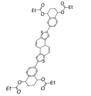 CCC(=O)OC1CCC(OC(=O)CC)c2cc(-c3cc4c(s3)C=CC3c5cc(-c6ccc7c(c6)C(OC(=O)CC)CCC7OC(=O)CC)sc5C=CC43)ccc21